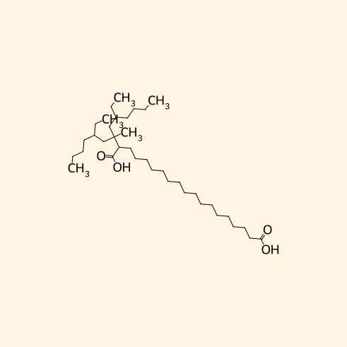 CCCCC(CC)CC(C)(CC(CC)CCCC)C(CCCCCCCCCCCCCCCCC(=O)O)C(=O)O